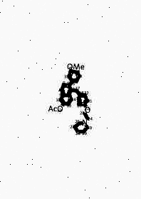 COc1cccc(-c2ccc3cc(OC(C)=O)ccc3c2Cc2ccc(OCCN3CCCCC3)cc2)c1